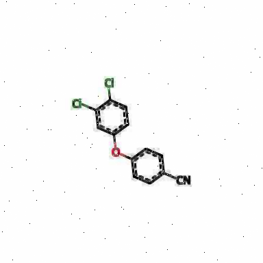 N#Cc1ccc(Oc2ccc(Cl)c(Cl)c2)cc1